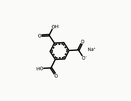 O=C([O-])c1cc(C(=O)O)cc(C(=O)O)c1.[Na+]